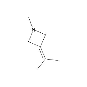 CC(C)=C1CN(C)C1